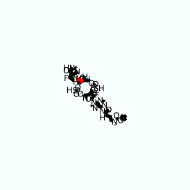 CN(CCCC(=O)Nc1ncnc2c1ncn2[C@@H]1O[C@@H]2CO[P@@](=O)(S)O[C@@H]3[C@H](O)[C@@H](CO[P@@](=O)(S)O[C@H]2[C@H]1F)O[C@H]3n1cc(F)c2c(=O)[nH]cnc21)C(=O)OC(C)(C)C